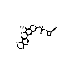 Cc1c(-c2cc3cc(NC(=O)OC4CCC4C#N)ncc3c(N)c2F)cnc2c1NCCO2